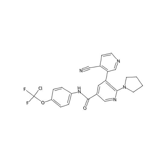 N#Cc1ccncc1-c1cc(C(=O)Nc2ccc(OC(F)(F)Cl)cc2)cnc1N1CCCC1